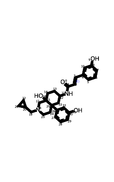 O=C(/C=C/c1cccc(O)c1)NC1CCC2(O)CN(CC3CC3)CCC2(c2cccc(O)c2)C1